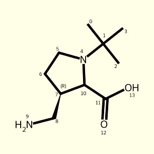 CC(C)(C)N1CC[C@H](CN)C1C(=O)O